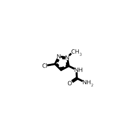 Cn1nc(Cl)cc1NC(N)=O